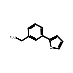 CC(C)(C)Cc1cccc(-c2ccco2)c1